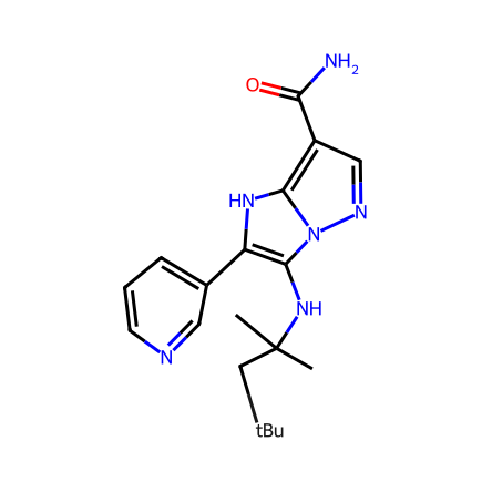 CC(C)(C)CC(C)(C)Nc1c(-c2cccnc2)[nH]c2c(C(N)=O)cnn12